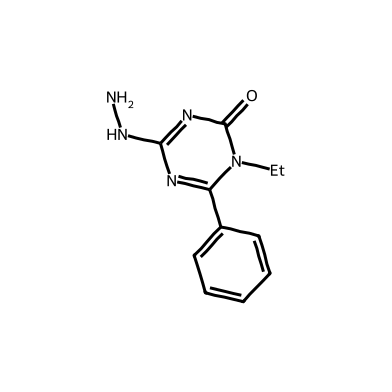 CCn1c(-c2ccccc2)nc(NN)nc1=O